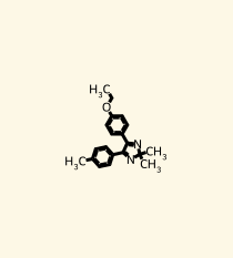 CCOc1ccc(C2=NC(C)(C)N=C2c2ccc(C)cc2)cc1